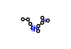 CN1C=CC(c2ccc(-c3cccc(-c4ccccc4)c3)cc2)=NC1n1c2ccccc2c2cc(-c3ccc4c(c3)c3ccccc3n4-c3ccccc3)ccc21